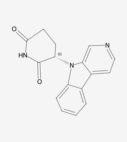 O=C1CC[C@H](n2c3ccccc3c3ccncc32)C(=O)N1